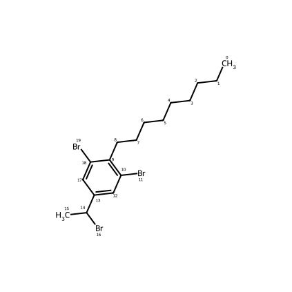 CCCCCCCCCc1c(Br)cc(C(C)Br)cc1Br